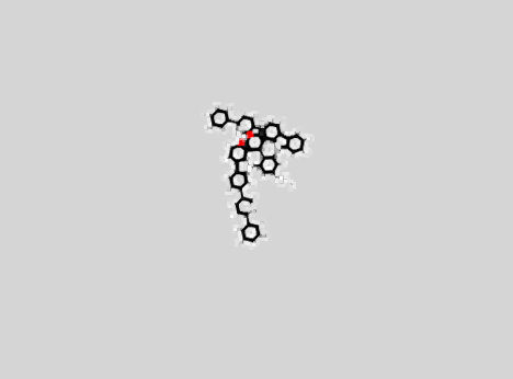 Fc1cc(F)cc(-c2c(-n3c4ccccc4c4ccc(-c5ccc(-c6ccccc6)nc5)cc43)cc(C(F)(F)F)cc2-n2c3ccccc3c3ccc(-c4ccc(-c5ccccc5)nc4)cc32)c1